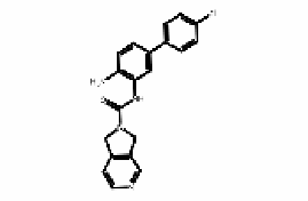 Nc1ccc(-c2ccc(Cl)cc2)cc1NC(=O)N1Cc2ccncc2C1